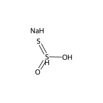 O=[SH](O)=S.[NaH]